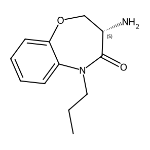 CCCN1C(=O)[C@@H](N)COc2ccccc21